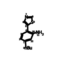 CCCCc1ccc(-c2cncs2)c(N)c1